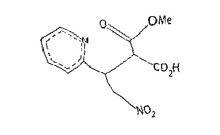 COC(=O)C(C(=O)O)C(C[N+](=O)[O-])c1ccccn1